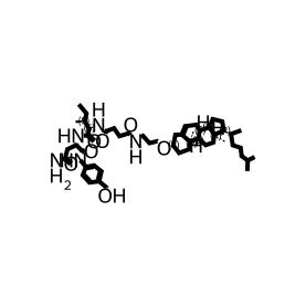 CC[C@H](C)[C@H](NC(=O)CCC(=O)NCCCO[C@H]1CC[C@@]2(C)C(=CC[C@H]3[C@@H]4CC[C@H](C(C)CCCC(C)C)[C@@]4(C)CC[C@@H]32)C1)C(=O)NC(CC(N)=O)C(=O)Nc1ccc(CO)cc1